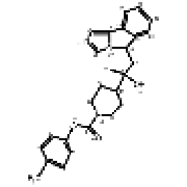 O=C(Nc1ccc(C(F)(F)F)cc1)N1CCC([C@](O)(I)CC2c3ccccc3-c3cncn32)CC1